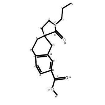 CCCN1CC[C@@]2(CCc3ccc(C(=O)OC)cc3C2)C1=O